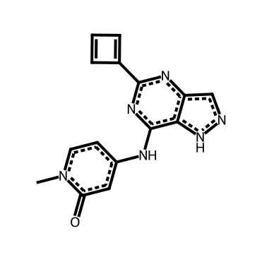 Cn1ccc(Nc2nc(C3=CC=C3)nc3cn[nH]c23)cc1=O